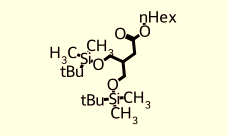 CCCCCCOC(=O)CC(CO[Si](C)(C)C(C)(C)C)CO[Si](C)(C)C(C)(C)C